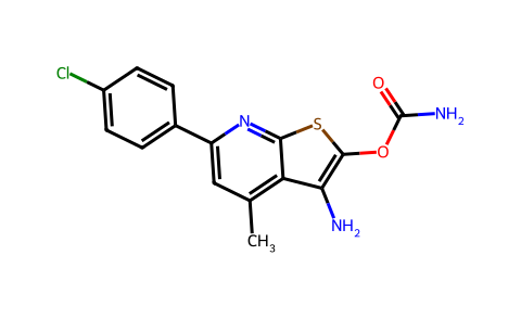 Cc1cc(-c2ccc(Cl)cc2)nc2sc(OC(N)=O)c(N)c12